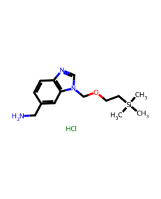 C[Si](C)(C)CCOCn1cnc2ccc(CN)cc21.Cl